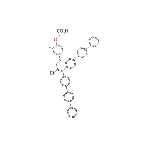 CCC(CSc1ccc(OCC(=O)O)c(C)c1)=C(c1ccc(-c2ccc(-c3ccccc3)cc2)cc1)c1ccc(-c2ccc(-c3ccccc3)cc2)cc1